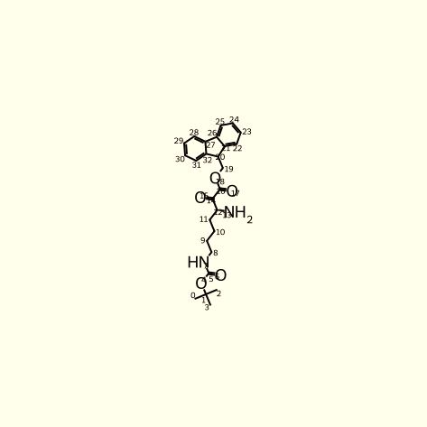 CC(C)(C)OC(=O)NCCCC[C@H](N)C(=O)C(=O)OCC1c2ccccc2-c2ccccc21